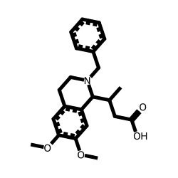 COc1cc2c(cc1OC)C(C(C)CC(=O)O)N(Cc1ccccc1)CC2